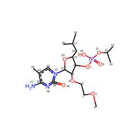 COCCOC1C(OP(=O)(O)OC(C)C)C(CC(C)C)OC1n1cc(C)c(N)nc1=O